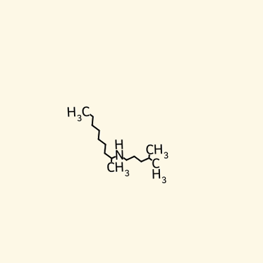 CCCCCCCC(C)NCCCC(C)C